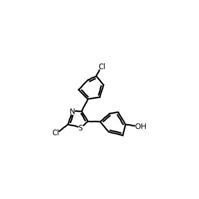 Oc1ccc(-c2sc(Cl)nc2-c2ccc(Cl)cc2)cc1